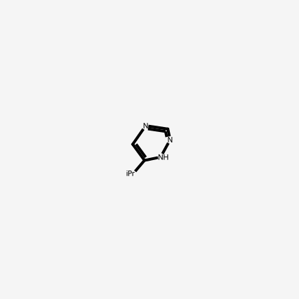 CC(C)C1=CN=C=NN1